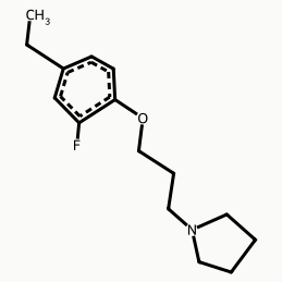 CCc1ccc(OCCCN2CCCC2)c(F)c1